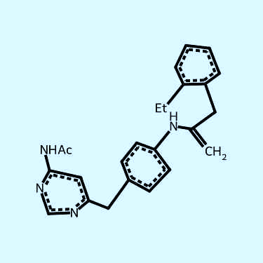 C=C(Cc1ccccc1CC)Nc1ccc(Cc2cc(NC(C)=O)ncn2)cc1